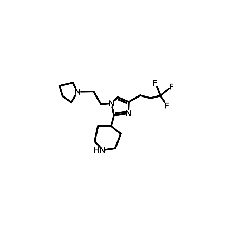 FC(F)(F)CCc1cn(CCN2CCCC2)c(C2CCNCC2)n1